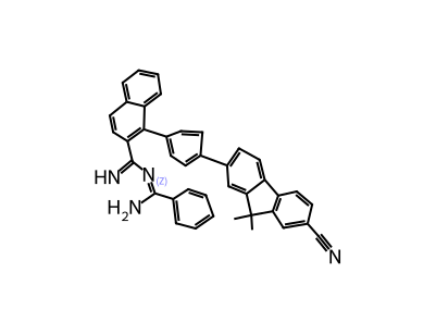 CC1(C)c2cc(C#N)ccc2-c2ccc(-c3ccc(-c4c(C(=N)/N=C(\N)c5ccccc5)ccc5ccccc45)cc3)cc21